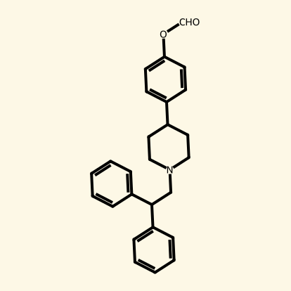 O=COc1ccc(C2CCN(CC(c3ccccc3)c3ccccc3)CC2)cc1